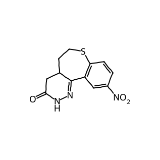 O=C1CC2CCSc3ccc([N+](=O)[O-])cc3C2=NN1